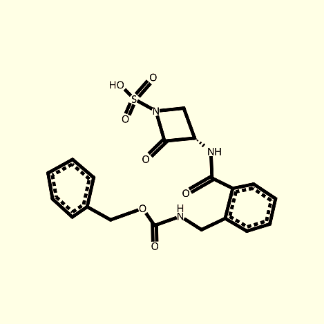 O=C(NCc1ccccc1C(=O)N[C@H]1CN(S(=O)(=O)O)C1=O)OCc1ccccc1